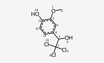 COc1cc(C(O)C(Cl)(Cl)Cl)ccc1O